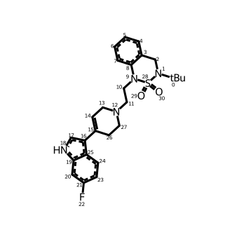 CC(C)(C)N1Cc2ccccc2N(CCN2CC=C(c3c[nH]c4cc(F)ccc34)CC2)S1(=O)=O